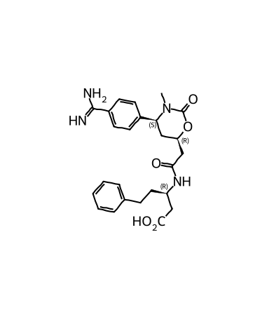 CN1C(=O)O[C@@H](CC(=O)N[C@H](CCc2ccccc2)CC(=O)O)C[C@H]1c1ccc(C(=N)N)cc1